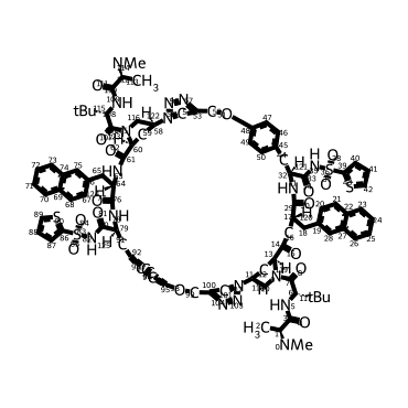 CN[C@@H](C)C(=O)N[C@H](C(=O)N1C[C@@H]2C[C@H]1C(=O)C[C@@H](Cc1ccc3ccccc3c1)C(=O)N[C@H](C(=O)NS(=O)(=O)c1cccs1)Cc1ccc(cc1)OCc1cn(nn1)[C@H]1C[C@@H](C(=O)N[C@@H](Cc3ccc4ccccc4c3)C(=O)N[C@H](C(=O)NS(=O)(=O)c3cccs3)Cc3ccc(cc3)OCc3cn2nn3)N(C(=O)[C@@H](NC(=O)[C@H](C)NC)C(C)(C)C)C1)C(C)(C)C